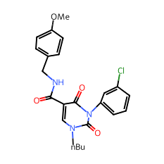 CCCCn1cc(C(=O)NCc2ccc(OC)cc2)c(=O)n(-c2cccc(Cl)c2)c1=O